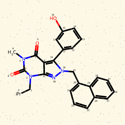 CC(C)Cn1c(=O)n(C)c(=O)c2c(-c3cccc(O)c3)n(Cc3cccc4ccccc34)nc21